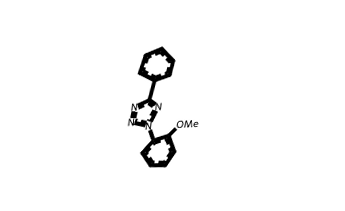 COc1ccccc1-n1nnc(-c2ccccc2)n1